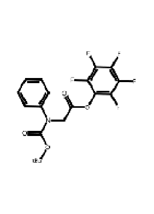 CC(C)(C)OC(=O)N(CC(=O)Oc1c(F)c(F)c(F)c(F)c1F)c1ccccc1